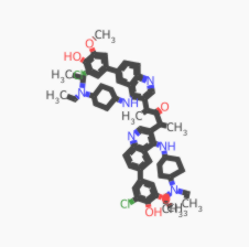 CCN(CC)C1CCC(Nc2c(C(C)C(=O)C(C)c3cnc4ccc(-c5cc(Cl)c(O)c(OC)c5)cc4c3NC3CCC(N(CC)CC)CC3)cnc3ccc(-c4cc(Cl)c(O)c(OC)c4)cc23)CC1